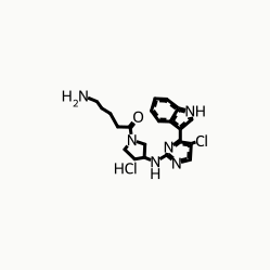 Cl.NCCCCC(=O)N1CCC(Nc2ncc(Cl)c(-c3c[nH]c4ccccc34)n2)C1